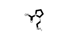 NCC[C@H]1CCCN1C(=O)N=O